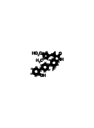 Cn1cc(C2CC23C(=O)Nc2cc(F)c(-c4ccc(-c5ccccc5O)cc4)cc23)cc1C(=O)O